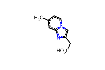 Cc1ccn2cc(CC(=O)O)nc2c1